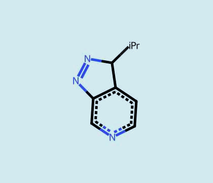 CC(C)C1N=Nc2cnccc21